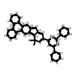 CC1(C)C=C(c2cc(-c3ccccc3)nc(-c3ccccc3)n2)C=C2C=c3cc4c5ccccc5c5ccccc5c4cc3=C21